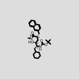 CNC(=O)[C@H](Cc1ccc2ccccc2c1)C[C@H](O)[C@H](CC1CCCCC1)NC(=O)OC(C)(C)C